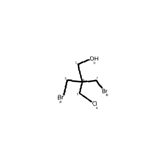 OCC(CCl)(CBr)CBr